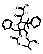 CC(C)C(C=O)NCC(Cc1ccccc1)C(Cc1ccccc1)(NC(=O)O)NC(C(=O)NC(=O)O)C(C)C